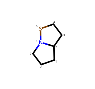 C1CC2CCSN2C1